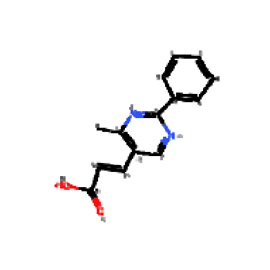 Cc1nc(-c2ccccc2)ncc1C=CC(=O)O